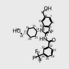 O=C(Nc1nc2ccc(CO)cc2n1[C@H]1CC[C@@H](CO)CC1)c1cccc(C(F)(F)F)c1